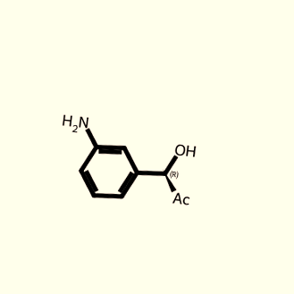 CC(=O)[C@H](O)c1cccc(N)c1